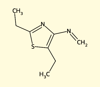 C=Nc1nc(CC)sc1CC